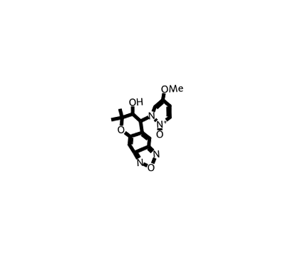 COc1cc[n+](=O)n(C2c3cc4nonc4cc3OC(C)(C)C2O)c1